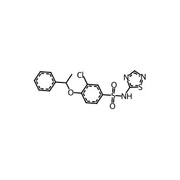 CC(Oc1ccc(S(=O)(=O)Nc2ncns2)cc1Cl)c1ccccc1